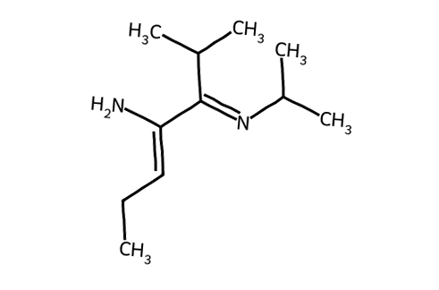 CCC=C(N)C(=NC(C)C)C(C)C